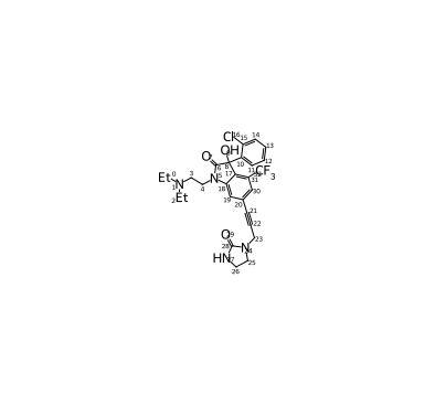 CCN(CC)CCN1C(=O)C(O)(c2ccccc2Cl)c2c1cc(C#CCN1CCNC1=O)cc2C(F)(F)F